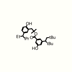 CCC(c1ccc(O)c(CC(C)(C)OC(=O)c2cc(O)cc(C(CC(C)(C)C)C(C)(C)C)c2)c1)C(C)C